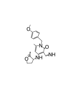 COc1ccc(Cn2c(C)cc(NC3CCO[C@H]3C)c(C=N)c2=O)cc1